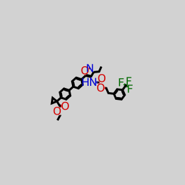 CCOC(=O)C1(c2ccc(-c3ccc(-c4onc(CC)c4NC(=O)OCCc4cccc(C(F)(F)F)c4)cc3)cc2)CC1